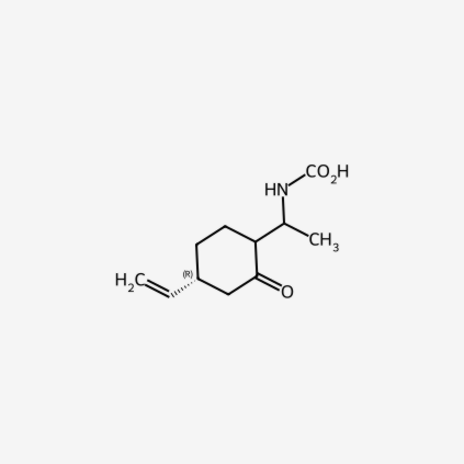 C=C[C@@H]1CCC(C(C)NC(=O)O)C(=O)C1